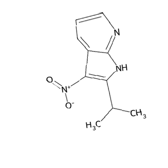 CC(C)c1[nH]c2ncccc2c1[N+](=O)[O-]